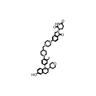 O=C1CCC(N2Cc3cc(N4CCN(CC5CCN(c6ccc([C@@H]7c8ccc(O)cc8CC[C@@H]7C7CCOCC7)cc6F)CC5)CC4)ccc3C2=O)C(=O)N1